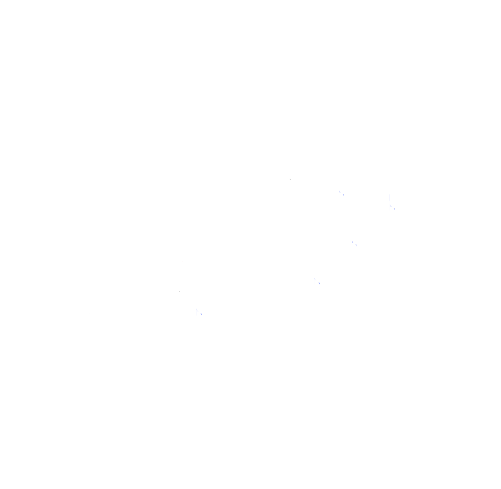 CCNc1nc(NC2CCC(NC(=O)c3ccc(F)cc3)CC2)cc(C(F)(F)F)n1